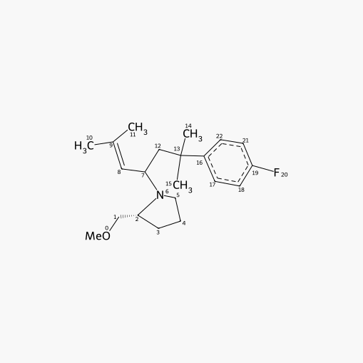 COC[C@H]1CCCN1C(C=C(C)C)CC(C)(C)c1ccc(F)cc1